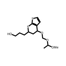 COC(C)OCOC1CC(CCCO)Sc2sccc21